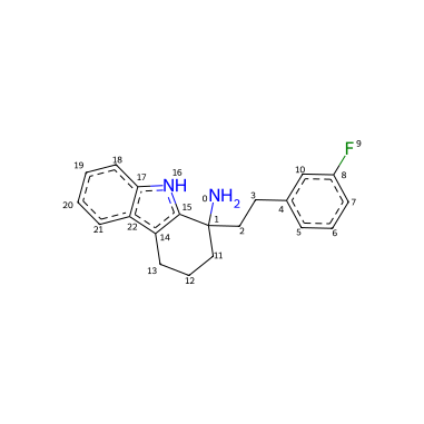 NC1(CCc2cccc(F)c2)CCCc2c1[nH]c1ccccc21